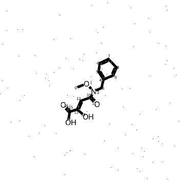 CON(Cc1ccccc1)C(=O)C=C(O)C(=O)O